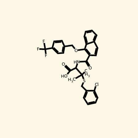 CC(C)(SCc1ccccc1Cl)C(NC(=O)c1ccc2ccccc2c1OCc1ccc(C(F)(F)F)cc1)C(=O)O